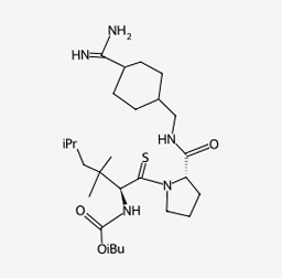 CC(C)COC(=O)N[C@H](C(=S)N1CCC[C@H]1C(=O)NCC1CCC(C(=N)N)CC1)C(C)(C)CC(C)C